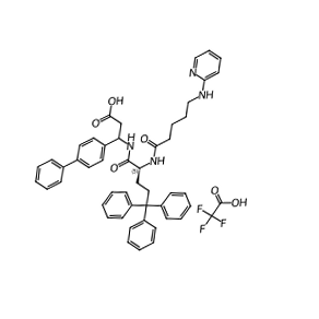 O=C(O)C(F)(F)F.O=C(O)CC(NC(=O)[C@H](CCC(c1ccccc1)(c1ccccc1)c1ccccc1)NC(=O)CCCCNc1ccccn1)c1ccc(-c2ccccc2)cc1